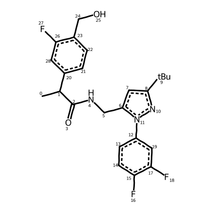 CC(C(=O)NCc1cc(C(C)(C)C)nn1-c1ccc(F)c(F)c1)c1ccc(CO)c(F)c1